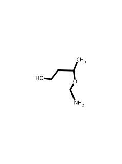 CC(CCO)OCN